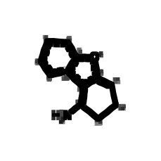 NC1=c2c(oc3ccccc23)=CCC1